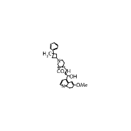 COc1ccc2nccc(C(O)CC[C@@H]3CCN(C4CC(C)(c5ccccc5)C4)C[C@@H]3C(=O)O)c2c1